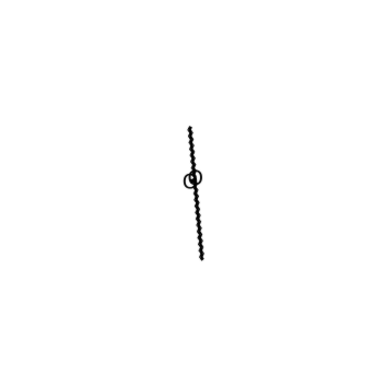 CCCCCCCCCCCCCCCCCCCCCCCCCC(=O)OCCCCCCCCCCCCCCCC